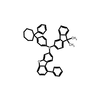 CC1(C)c2ccccc2-c2cc(N(c3ccc(C4(c5ccccc5)CCCCCC4)cc3)c3ccc4c(c3)oc3cccc(-c5ccccc5)c34)ccc21